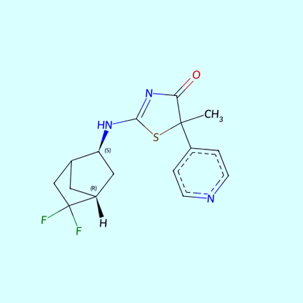 CC1(c2ccncc2)SC(N[C@H]2C[C@H]3CC2CC3(F)F)=NC1=O